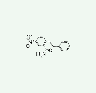 NC(=O)c1cc([N+](=O)[O-])ccc1C=Cc1ccccc1